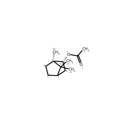 CC(=O)O[C@@H]1CC2CC[C@]1(C)C2(C)C